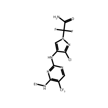 CCNc1nc(Nc2cn(C(F)(F)C(N)=O)nc2Cl)ncc1C(F)(F)F